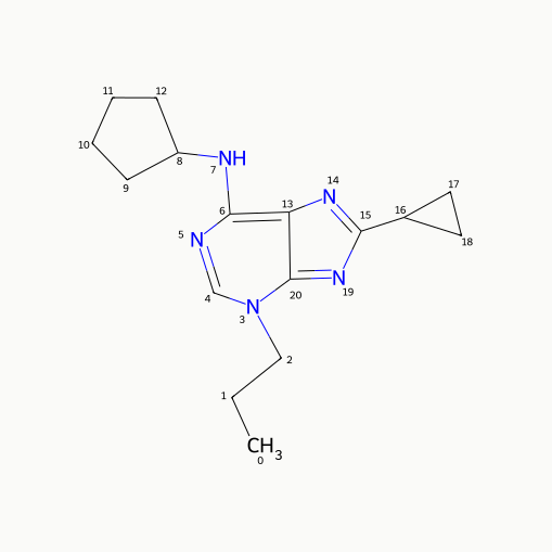 CCCn1cnc(NC2CCCC2)c2nc(C3CC3)nc1-2